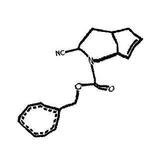 N#CC1CC2CC=CC2N1C(=O)OCc1ccccc1